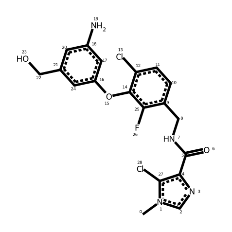 Cn1cnc(C(=O)NCc2ccc(Cl)c(Oc3cc(N)cc(CO)c3)c2F)c1Cl